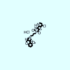 COc1cccc2c1[C@@H]1CN(CCCCn3c(=O)[nH]c4c(sc5c(Cl)ccnc54)c3=O)C[C@H]1CO2.Cl